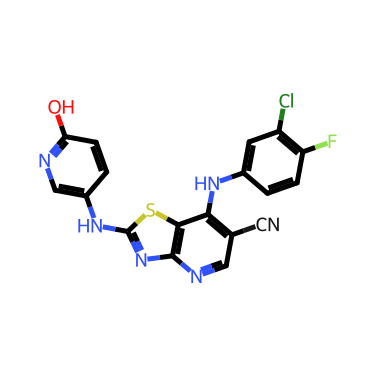 N#Cc1cnc2nc(Nc3ccc(O)nc3)sc2c1Nc1ccc(F)c(Cl)c1